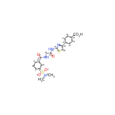 CN(C)S(=O)(=O)c1cccc(C(=O)NCC(=O)Nc2nc(-c3ccc(C(=O)O)cc3)cs2)c1